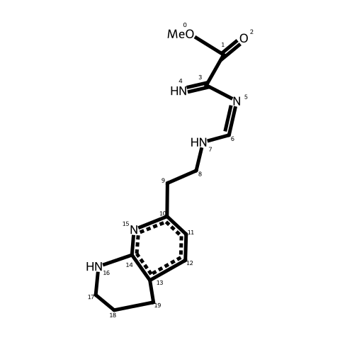 COC(=O)C(=N)/N=C\NCCc1ccc2c(n1)NCCC2